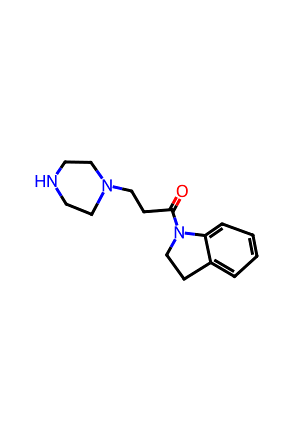 O=C(CCN1CCNCC1)N1CCc2ccccc21